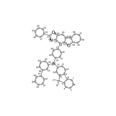 CC1(C)c2ccccc2-c2ccc(N(c3ccc(-c4c5nc(-c6ccccc6)oc5cc5c4oc4ccccc45)cc3)c3cccc(-c4ccccc4)c3)cc21